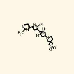 CC(C)n1nc(-c2ccnc(C(F)(F)F)n2)cc1C1[C@H]2CC(N3CCC4(C3)CS(=O)(=O)C4)C[C@@H]12